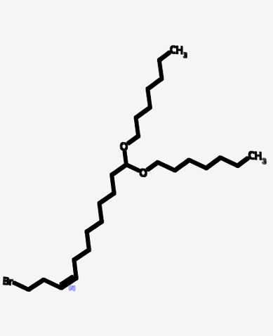 CCCCCCCOC(CCCCCCC/C=C\CCBr)OCCCCCCC